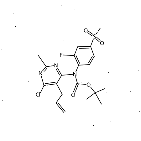 C=CCc1c(Cl)nc(C)nc1N(C(=O)OC(C)(C)C)c1ccc(S(C)(=O)=O)cc1F